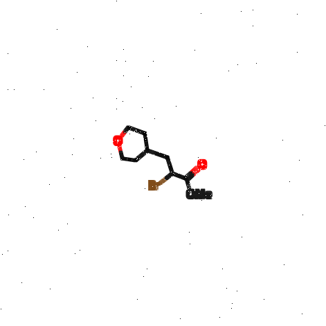 COC(=O)C(Br)CC1CCOCC1